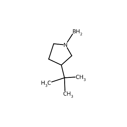 BN1CCC(C(C)(C)C)C1